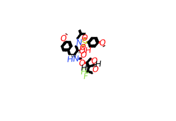 COc1ccc(C[C@H](NC(=O)OC2CO[C@H]3OCC(F)(F)[C@@H]23)[C@H](O)CN(CC(C)C)S(=O)(=O)c2ccc(OC)cc2)cc1